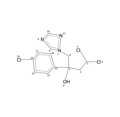 OC(CC(Cl)Cl)(Cn1cncn1)c1ccc(Cl)cc1